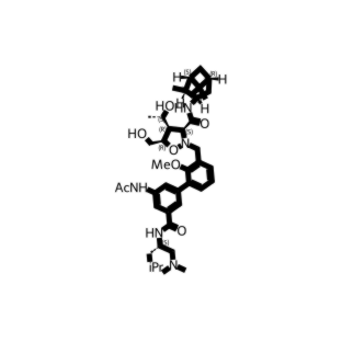 COc1c(CN2O[C@@H](CO)[C@@H]([C@H](C)O)[C@H]2C(=O)N[C@H]2C[C@H]3C[C@@H]([C@@H]2C)C3(C)C)cccc1-c1cc(NC(C)=O)cc(C(=O)N[C@@H](CC(C)C)CN(C)C)c1